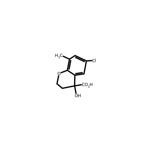 Cc1cc(Cl)cc2c1OCCC2(O)C(=O)O